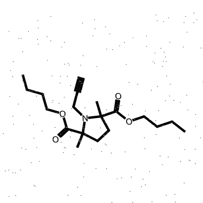 C#CCN1C(C)(C(=O)OCCCC)CCC1(C)C(=O)OCCCC